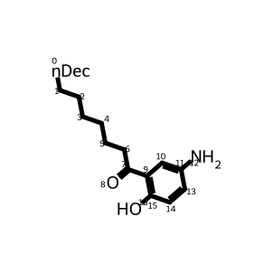 CCCCCCCCCCCCCCCCC(=O)c1cc(N)ccc1O